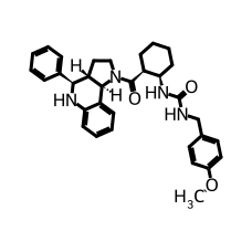 COc1ccc(CNC(=O)N[C@@H]2CCCC[C@@H]2C(=O)N2CC[C@H]3[C@H](c4ccccc4)Nc4ccccc4[C@@H]32)cc1